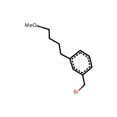 COCCCCc1cccc(CBr)c1